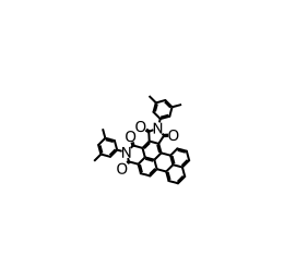 Cc1cc(C)cc(N2C(=O)c3ccc4c5cccc6cccc(c65)c5c6c(=O)n(-c7cc(C)cc(C)c7)c(=O)c6c(c3c45)C2=O)c1